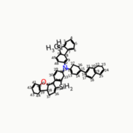 C[SiH]1c2ccccc2C2C=C(N(C3=CC=C(c4ccc5c(c4)CCC=C5)CC3)C3C=CC4=C(C3)[SiH2]C3=CCC5C6=C(C=CCC6)OC5C34)C=CC21